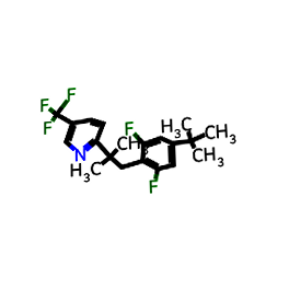 CC(C)(C)c1cc(F)c(CC(C)(C)c2ccc(C(F)(F)F)cn2)c(F)c1